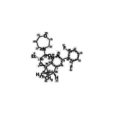 CC[C@@H](O[C@@]12CC[C@@H](c3cc(-c4c(F)cccc4F)nnc31)C2(C)C)C(=O)N1CCCOCC1